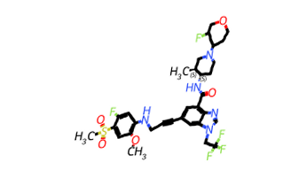 COc1cc(S(C)(=O)=O)c(F)cc1NCC#Cc1cc(C(=O)N[C@H]2CCN(C3CCOCC3F)C[C@@H]2C)c2ncn(CC(F)(F)F)c2c1